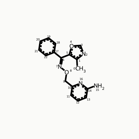 Cc1ncoc1/C(=N\OCc1cccc(N)n1)c1ccccc1